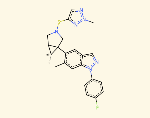 Cc1cc2c(cnn2-c2ccc(F)cc2)cc1C12CN(Sc3cnn(C)n3)CC1[C@H]2C